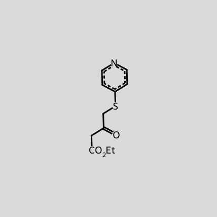 CCOC(=O)CC(=O)CSc1ccncc1